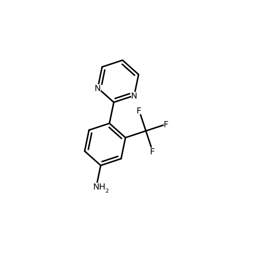 Nc1ccc(-c2ncccn2)c(C(F)(F)F)c1